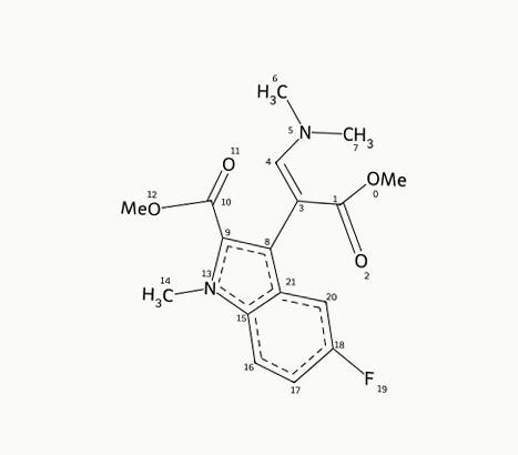 COC(=O)/C(=C\N(C)C)c1c(C(=O)OC)n(C)c2ccc(F)cc12